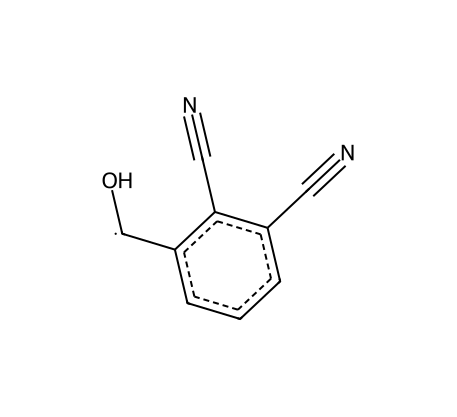 N#Cc1cccc([CH]O)c1C#N